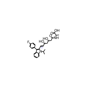 CC(NC(=O)C[C@@H](O)C[C@@H](O)/C=C/c1c(-c2ccc(F)cc2)c2ccccc2n1C(C)C)C(=O)O